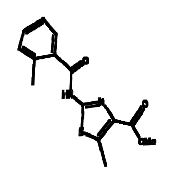 COC(=O)c1nc(NC(=O)c2ccccc2C)sc1C